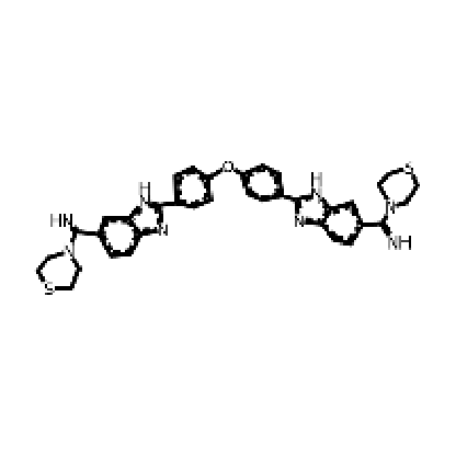 N=C(c1ccc2nc(-c3ccc(Oc4ccc(-c5nc6ccc(C(=N)N7CCSCC7)cc6[nH]5)cc4)cc3)[nH]c2c1)N1CCSCC1